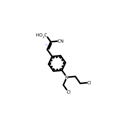 N#C/C(=C\c1ccc(N(CCl)CCCl)cc1)C(=O)O